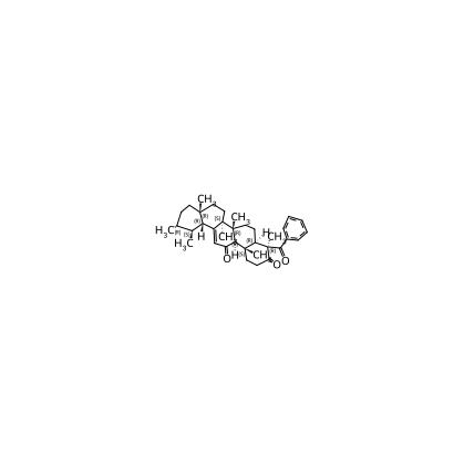 C[C@H]1[C@H](C)CC[C@]2(C)CC[C@]3(C)C(=CC(=O)[C@@H]4[C@@]5(C)CCC(=O)[C@](C)(C(=O)c6ccccc6)[C@@H]5CC[C@]43C)[C@H]12